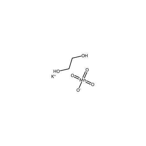 OCCO.[K+].[O]=[Mn](=[O])(=[O])[O-]